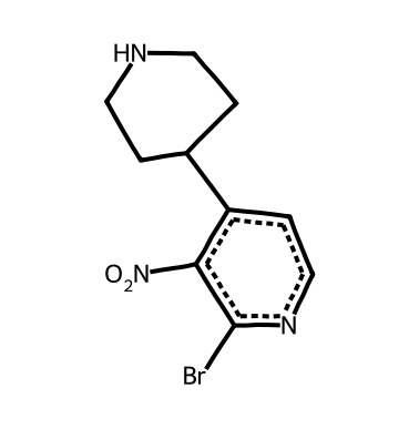 O=[N+]([O-])c1c(C2CCNCC2)ccnc1Br